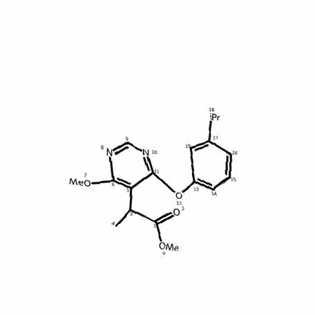 COC(=O)C(C)c1c(OC)ncnc1Oc1cccc(C(C)C)c1